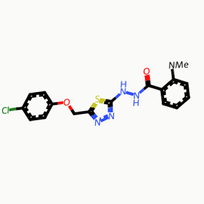 CNc1ccccc1C(=O)NNc1nnc(COc2ccc(Cl)cc2)s1